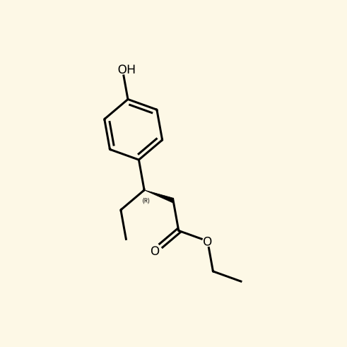 CCOC(=O)C[C@@H](CC)c1ccc(O)cc1